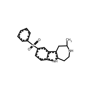 CC1Cc2c([nH]c3ccc(S(=O)(=O)c4ccccc4)cc23)CCN1